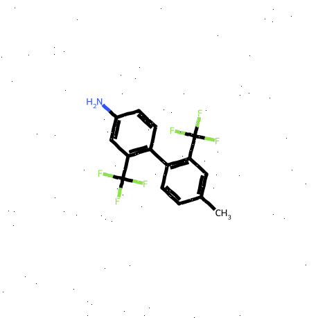 Cc1ccc(-c2ccc(N)cc2C(F)(F)F)c(C(F)(F)F)c1